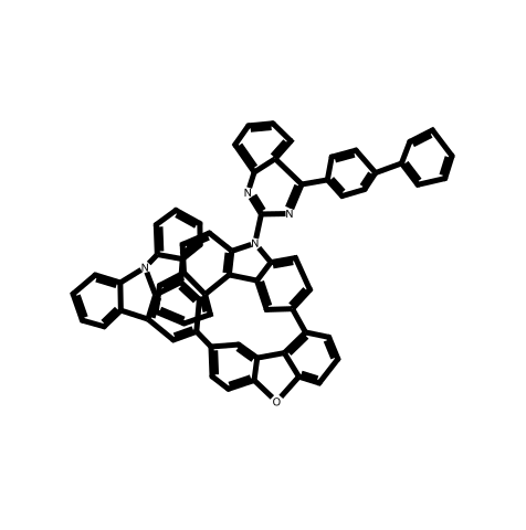 c1ccc(-c2ccc(-c3nc(-n4c5ccc(-c6cccc7oc8ccc(-c9cc%10c%11ccccc%11n%11c%12ccccc%12c(c9)c%10%11)cc8c67)cc5c5c6ccccc6ccc54)nc4ccccc34)cc2)cc1